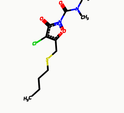 CCCCSCc1on(C(=O)N(C)C)c(=O)c1Cl